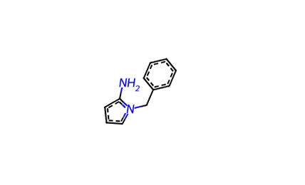 Nc1cccn1Cc1ccccc1